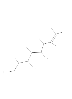 CC(C)=C(O)C(O)C(O)C(O)C(O)C(O)CO